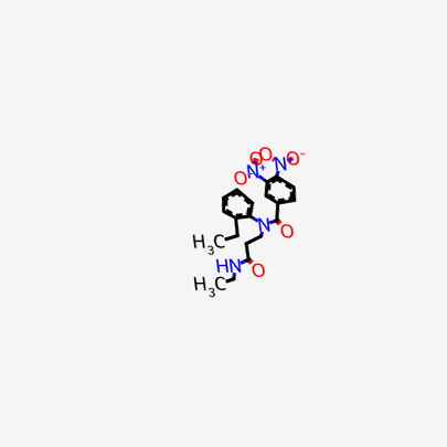 CCNC(=O)CCN(C(=O)c1ccc([N+](=O)[O-])c([N+](=O)[O-])c1)c1ccccc1CC